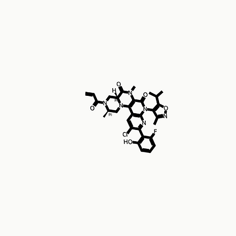 C=CC(=O)N1C[C@@H]2C(=O)N(C)c3c(c4cc(Cl)c(-c5c(O)cccc5F)nc4n(-c4c(C)noc4C(C)C)c3=O)N2C[C@H]1C